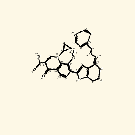 COc1c(-c2cc3c(s2)CCC/C3=N/OCc2ccncc2)ccc2c(=O)c(C(=O)O)cn(C3CC3)c12